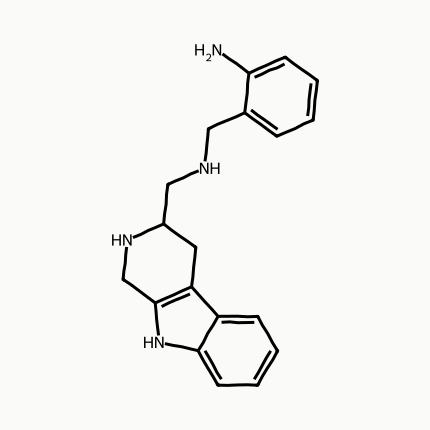 Nc1ccccc1CNCC1Cc2c([nH]c3ccccc23)CN1